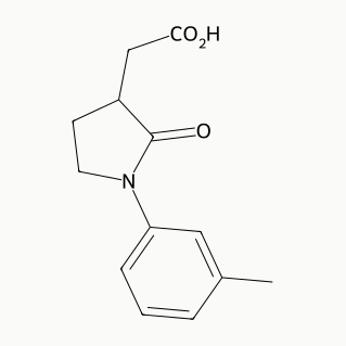 Cc1cccc(N2CCC(CC(=O)O)C2=O)c1